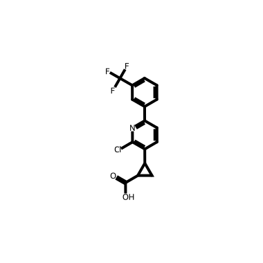 O=C(O)C1CC1c1ccc(-c2cccc(C(F)(F)F)c2)nc1Cl